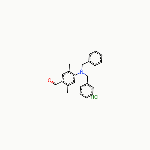 Cc1cc(N(Cc2ccccc2)Cc2ccccc2)c(C)cc1C=O.Cl